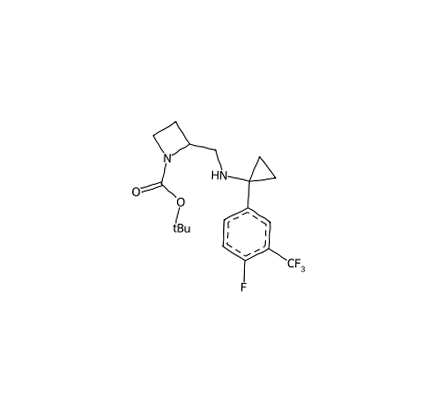 CC(C)(C)OC(=O)N1CCC1CNC1(c2ccc(F)c(C(F)(F)F)c2)CC1